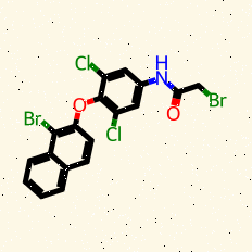 O=C(CBr)Nc1cc(Cl)c(Oc2ccc3ccccc3c2Br)c(Cl)c1